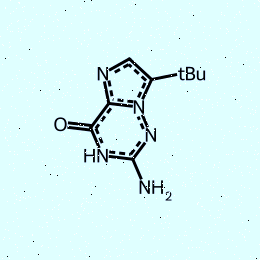 CC(C)(C)c1cnc2c(=O)[nH]c(N)nn12